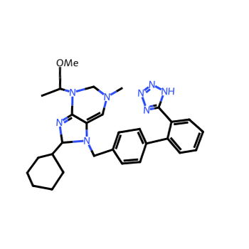 COC(C)N1CN(C)C=C2C1=NC(C1CCCCC1)N2Cc1ccc(-c2ccccc2-c2nnn[nH]2)cc1